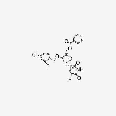 O=C(OC[C@@H]1O[C@H](n2cc(F)c(=O)[nH]c2=O)CC1OCc1ccc(Cl)cc1F)c1ccccc1